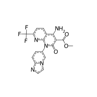 COC(=O)c1c(N)c2ccc(C(F)(F)F)nc2n(-c2ccc3nccn3c2)c1=O